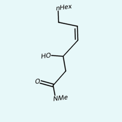 CCCCCCC/C=C\C(O)CC(=O)NC